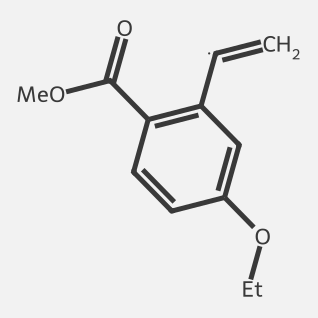 C=[C]c1cc(OCC)ccc1C(=O)OC